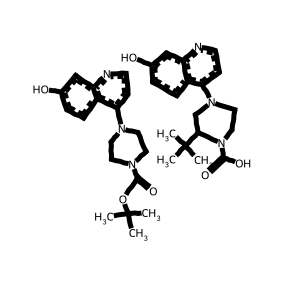 CC(C)(C)C1CN(c2ccnc3cc(O)ccc23)CCN1C(=O)O.CC(C)(C)OC(=O)N1CCN(c2ccnc3cc(O)ccc23)CC1